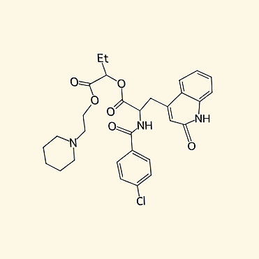 CCC(OC(=O)C(Cc1cc(=O)[nH]c2ccccc12)NC(=O)c1ccc(Cl)cc1)C(=O)OCCN1CCCCC1